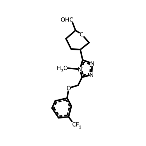 Cn1c(COc2cccc(C(F)(F)F)c2)nnc1C1CCC(C=O)CC1